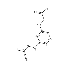 CC(=O)COc1cccc(OCC(C)=O)c1